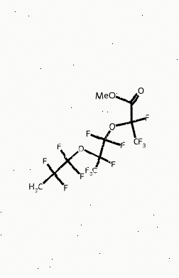 COC(=O)C(F)(OC(F)(F)C(F)(OC(F)(F)C(C)(F)F)C(F)(F)F)C(F)(F)F